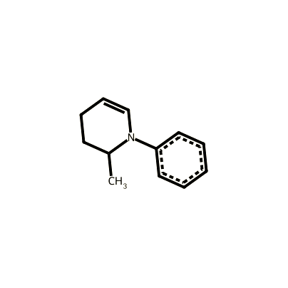 CC1CCC=CN1c1ccccc1